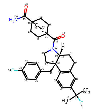 CC(F)(c1ccc2c(c1)CC[C@H]1N(C(=O)C34CCC(C(N)=O)(CC3)CC4)CC[C@@]21Cc1ccc(F)cc1)C(F)(F)F